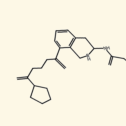 C=C(CC)NC1BCc2c(cccc2C(=C)CCCC(=C)C2CCCC2)C1